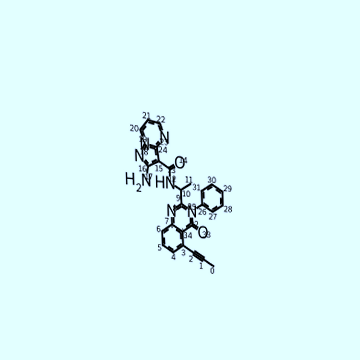 CC#Cc1cccc2nc(C(C)NC(=O)c3c(N)nn4cccnc34)n(-c3ccccc3)c(=O)c12